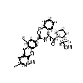 Cc1cc(Cc2ccc(C(=O)NCC(=O)N3[C@H](c4cccc(F)c4)CC[C@@H]3C(C)(C)O)cc2C)c(=O)[nH]n1